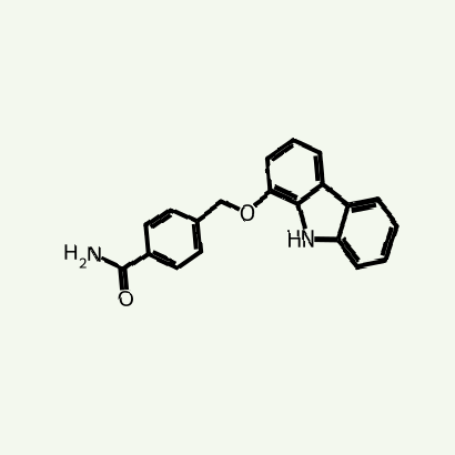 NC(=O)c1ccc(COc2cccc3c2[nH]c2ccccc23)cc1